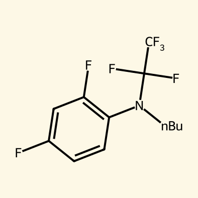 CCCCN(c1ccc(F)cc1F)C(F)(F)C(F)(F)F